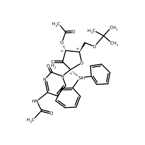 C=C1[C@H](OC(C)=O)[C@@H](COC(C)(C)C)O[C@]1(n1ccc(NC(C)=O)nc1=O)[SiH](c1ccccc1)c1ccccc1